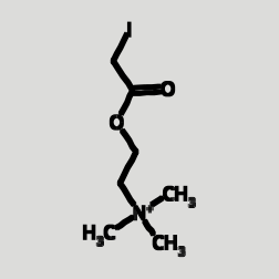 C[N+](C)(C)CCOC(=O)CI